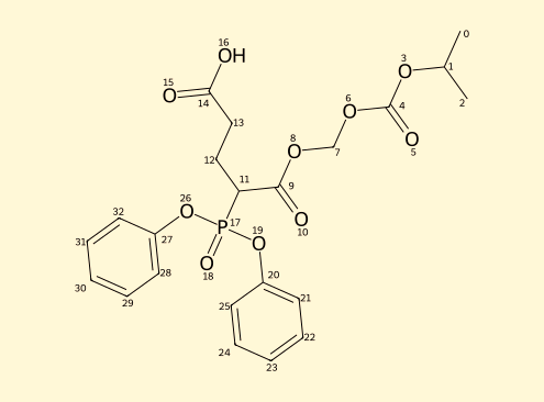 CC(C)OC(=O)OCOC(=O)C(CCC(=O)O)P(=O)(Oc1ccccc1)Oc1ccccc1